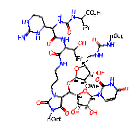 CCCCCCCCNC(=O)NC[C@H]1O[C@H](OC(C2C(=O)N(CCCCCCCC)C(=O)N2CCCNC(=O)C(NC(=O)C(NC(=O)NC(C(=O)O)C(C)C)C2CCNC(=N)N2)C(O)C(C)C)[C@H]2O[C@@H](n3ccc(=O)[nH]c3=O)[C@H](O)[C@@H]2O)[C@H](OC)[C@H]1O